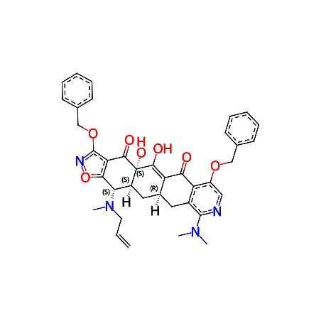 C=CCN(C)[C@@H]1c2onc(OCc3ccccc3)c2C(=O)[C@@]2(O)C(O)=C3C(=O)c4c(OCc5ccccc5)cnc(N(C)C)c4C[C@H]3C[C@@H]12